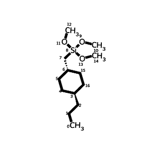 CCC[C@H]1CC[C@H](C[Si](OC)(OC)OC)CC1